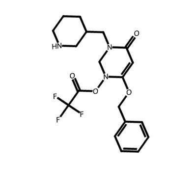 O=C1C=C(OCc2ccccc2)N(OC(=O)C(F)(F)F)CN1CC1CCCNC1